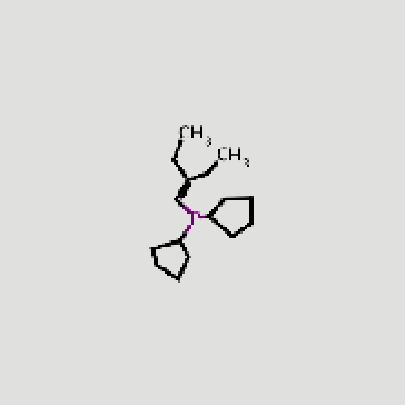 CCC(=CP(C1CCCC1)C1CCCC1)CC